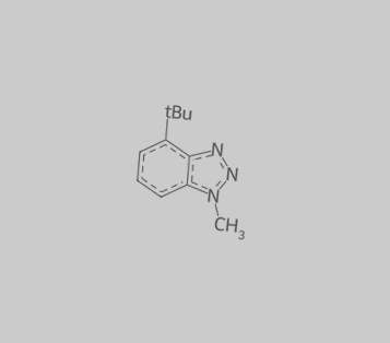 Cn1nnc2c(C(C)(C)C)cccc21